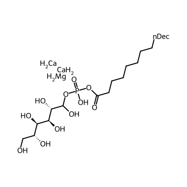 CCCCCCCCCCCCCCCCCC(=O)OP(=O)(O)OC(O)[C@@H](O)[C@@H](O)[C@H](O)[C@H](O)CO.[CaH2].[CaH2].[MgH2]